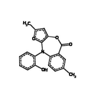 Cc1ccc2c(c1)C(=O)Oc1cc(C)oc1N2c1ccccc1O